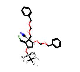 CC(C)(C)[Si](C)(C)O[C@@H]1C[C@H](OCOCc2ccccc2)[C@@](C#N)(COCOCc2ccccc2)/C1=C\F